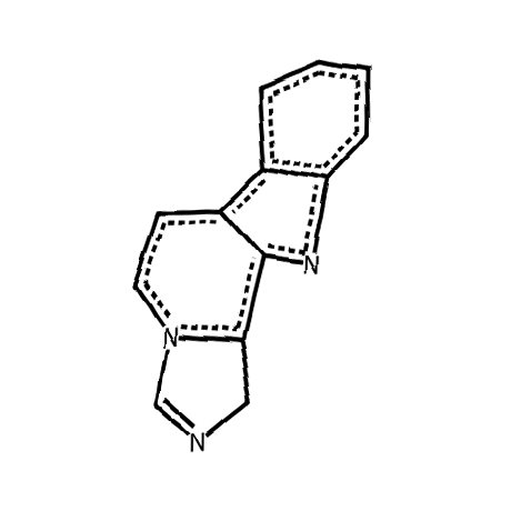 C1=NCc2c3nc4ccccc4c-3ccn21